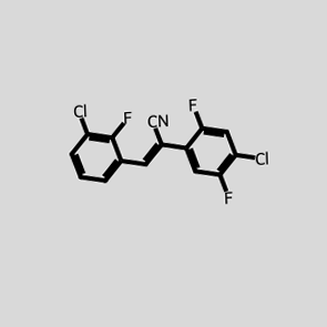 N#CC(=Cc1cccc(Cl)c1F)c1cc(F)c(Cl)cc1F